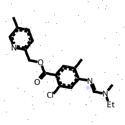 CCN(C)/C=N/c1cc(Cl)c(C(=O)OCc2ccc(C)cn2)cc1C